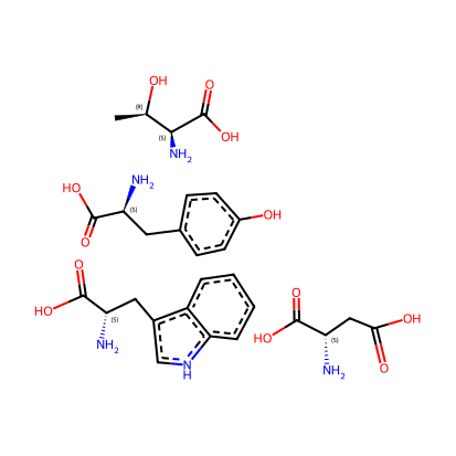 C[C@@H](O)[C@H](N)C(=O)O.N[C@@H](CC(=O)O)C(=O)O.N[C@@H](Cc1c[nH]c2ccccc12)C(=O)O.N[C@@H](Cc1ccc(O)cc1)C(=O)O